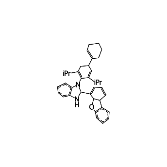 CC(C)C1=CC(C2=CCCCC2)CC(C(C)C)=C1N1c2ccccc2NC1C1=CC=CC2c3ccccc3OC12